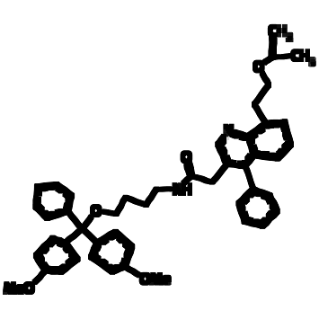 C=C(C)OCCc1cccc2c(-c3ccccc3)c(CC(=O)NCCCCOC(c3ccccc3)(c3ccc(OC)cc3)c3ccc(OC)cc3)cnc12